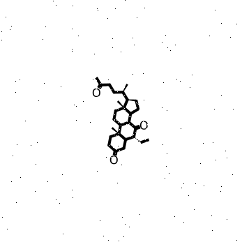 CC[C@H]1C(=O)C2C(CC[C@@]3(C)C2CC[C@@H]3[C@H](C)CCC(C)=O)[C@@]2(C)CCC(=O)CC12